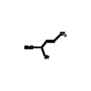 COC(/C=C/C(F)(F)F)C(C)C